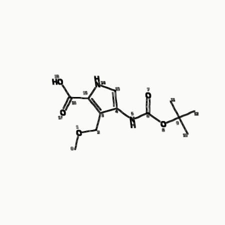 COCc1c(NC(=O)OC(C)(C)C)c[nH]c1C(=O)O